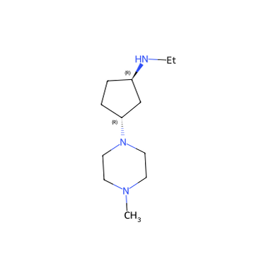 CCN[C@@H]1CC[C@@H](N2CCN(C)CC2)C1